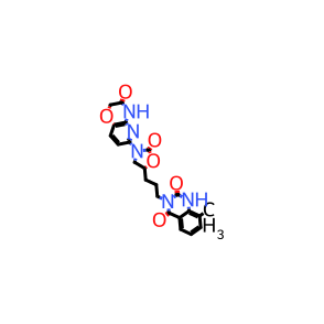 Cc1cccc2c(=O)n(CCCC3CN(c4ccc5c(n4)NC(=O)CO5)C(=O)O3)c(=O)[nH]c12